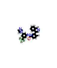 Cc1ccc(C(=O)Nc2cc(-n3ccnc3)cc(C(F)(F)F)c2)cc1-c1cncc2ccccc12